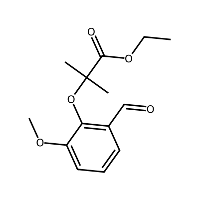 CCOC(=O)C(C)(C)Oc1c(C=O)cccc1OC